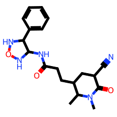 CC1C(CCC(=O)NC2NONC2c2ccccc2)CC(C#N)C(=O)N1C